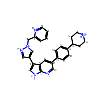 c1ccc(Cn2cc(-c3c[nH]c4ncc(-c5ccc(C6CCNCC6)cc5)cc34)cn2)nc1